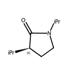 CC(C)[C@@H]1CCN(C(C)C)C1=O